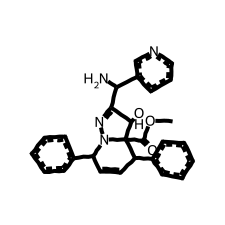 COC(=O)C12C(O)C(C(N)c3cccnc3)=NN1C(c1ccccc1)C=CC2c1ccccc1